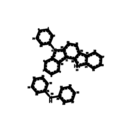 c1ccc(-n2c3ccccc3c3c4[nH]c5ccccc5c4ccc32)cc1.c1ccc(Nc2ccccc2)cc1